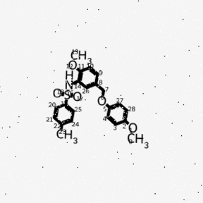 COc1ccc(OCc2ccc(OC)c(NS(=O)(=O)c3ccc(C)cc3)c2)cc1